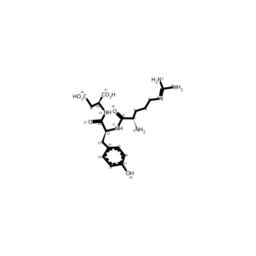 NC(N)=NCCC[C@H](N)C(=O)N[C@@H](Cc1ccc(O)cc1)C(=O)N[C@@H](CC(=O)O)C(=O)O